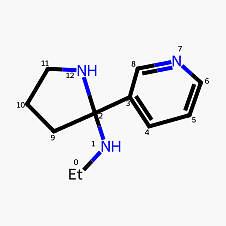 CCNC1(c2cccnc2)CCCN1